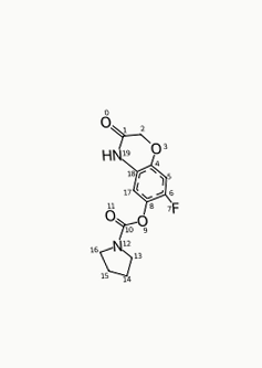 O=C1COc2cc(F)c(OC(=O)N3CCCC3)cc2N1